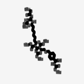 CC(C)(C)OC(=O)/N=C(/NCCCCCCCCN(C(=O)OC(C)(C)C)/C(=N/C(=O)OC(C)(C)C)N(CCOCc1ccc(C(=N)NC(=O)OC(C)(C)C)cc1)C(=O)OC(C)(C)C)NC(=O)OC(C)(C)C